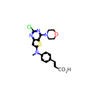 CN(c1ccc(C=CC(=O)O)cc1)c1cc2nc(Cl)nc(N3CCOCC3)c2s1